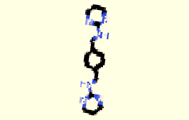 C1=NC(NCc2ccc(CNC3=NCCC=N3)cc2)=NCC1